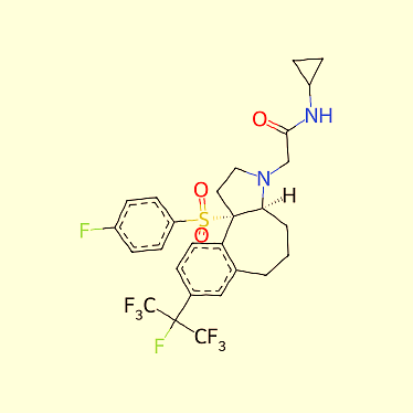 O=C(CN1CC[C@]2(S(=O)(=O)c3ccc(F)cc3)c3ccc(C(F)(C(F)(F)F)C(F)(F)F)cc3CCC[C@H]12)NC1CC1